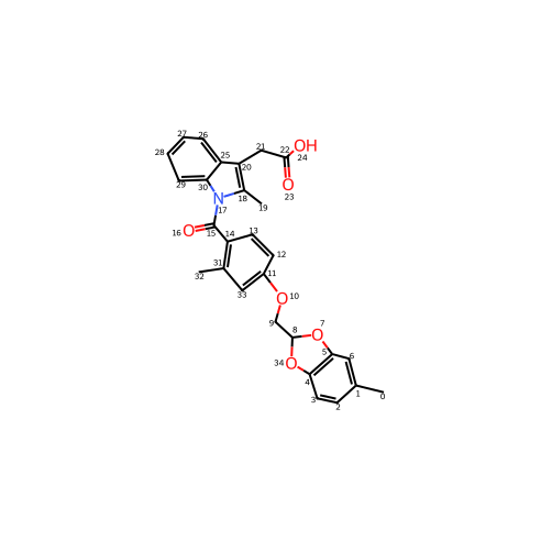 Cc1ccc2c(c1)OC(COc1ccc(C(=O)n3c(C)c(CC(=O)O)c4ccccc43)c(C)c1)O2